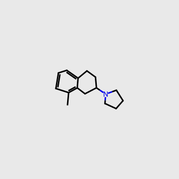 Cc1cccc2c1CC(N1CCCC1)CC2